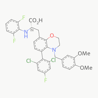 COc1ccc(CN2CCOc3c(C[C@H](Nc4c(F)cccc4F)C(=O)O)ccc(-c4c(Cl)cc(F)cc4Cl)c32)cc1OC